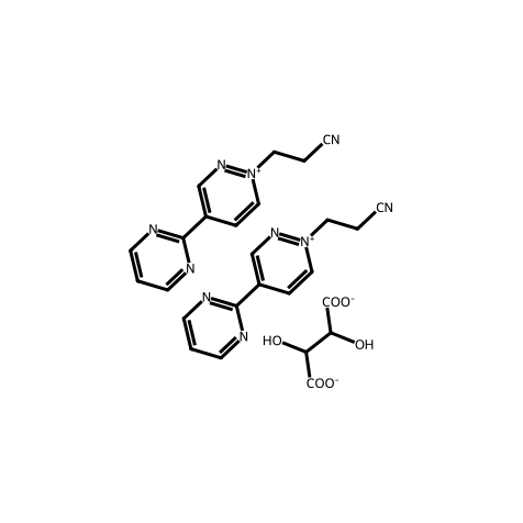 N#CCC[n+]1ccc(-c2ncccn2)cn1.N#CCC[n+]1ccc(-c2ncccn2)cn1.O=C([O-])C(O)C(O)C(=O)[O-]